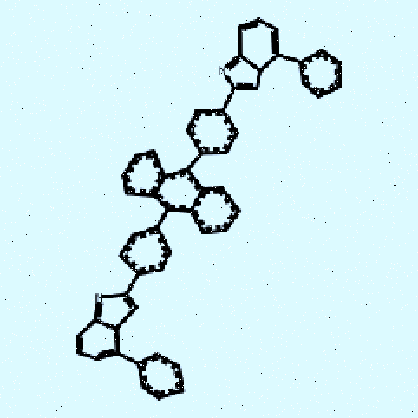 C1=CC2=NC(c3ccc(-c4c5ccccc5c(-c5ccc(C6=CC7C(c8ccccc8)=CC=CC7=N6)cc5)c5ccccc45)cc3)=CC2C(c2ccccc2)=C1